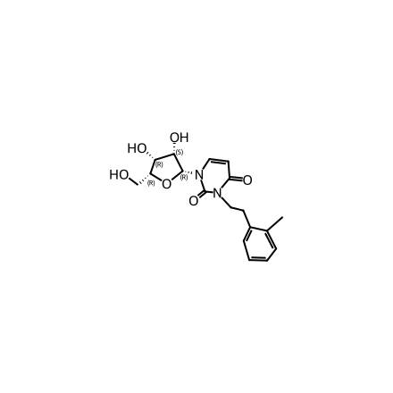 Cc1ccccc1CCn1c(=O)ccn([C@@H]2O[C@H](CO)[C@H](O)[C@@H]2O)c1=O